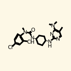 Cc1cnc(N[C@H]2CC[C@@H](NC(=O)N(C)c3ccc(Cl)cc3Cl)CC2)nc1N(C)C